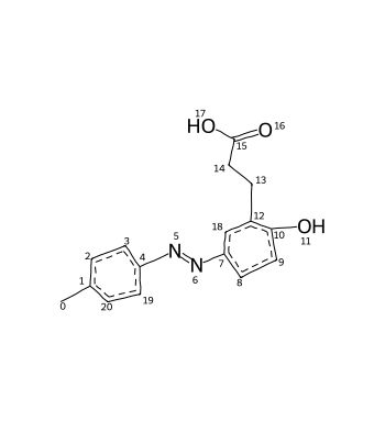 Cc1ccc(/N=N/c2ccc(O)c(CCC(=O)O)c2)cc1